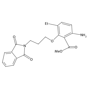 CCc1ccc(N)c(C(=O)OC)c1OCCCN1C(=O)c2ccccc2C1=O